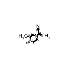 C=C(C#N)N1CCN(I)[C@@H](C)C1